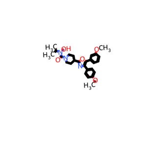 COc1ccc(-c2nc(C3CCN(C(=O)N(O)C(C)C)CC3)oc2-c2cccc(OC)c2)cc1